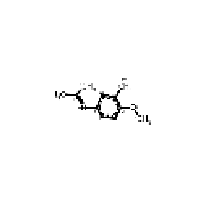 COc1ccc(N=C(C)C)cc1C